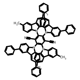 Cc1ccc2c(c1)c1cc(C)ccc1n2-c1c(C#N)c(-n2c3ccc(-c4ccccc4)cc3c3cc(-c4ccccc4)ccc32)c(-n2c3ccc(C)cc3c3cc(C)ccc32)c(C#N)c1-n1c2ccc(-c3ccccc3)cc2c2cc(-c3ccccc3)ccc21